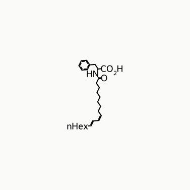 CCCCCC/C=C/C=C\CCCCCCCC(=O)NC(Cc1ccccc1)C(=O)O